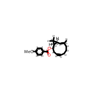 COc1ccc(C(=O)O[C@H]2CC#CCCC/C(C)=C/[C@H]3[C@@H]2C3(C)C)cc1